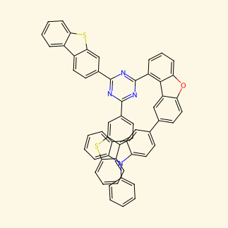 c1ccc(-n2c3ccccc3c3cc(-c4ccc5oc6cccc(-c7nc(-c8ccc9c(c8)sc8ccccc89)nc(-c8ccc9c(c8)sc8ccccc89)n7)c6c5c4)ccc32)cc1